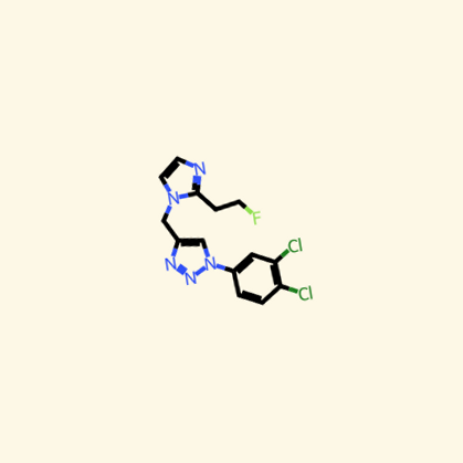 FCCc1nccn1Cc1cn(-c2ccc(Cl)c(Cl)c2)nn1